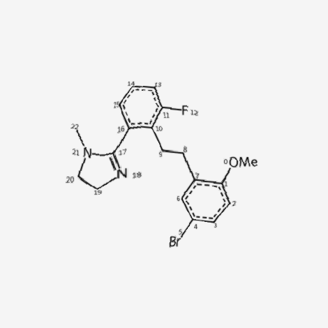 COc1ccc(Br)cc1CCc1c(F)cccc1C1=NCCN1C